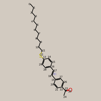 CCCCCCCCCCCCSc1ccc(/C=C/c2ccc(C(C)=O)cc2)cc1